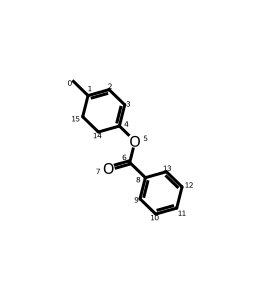 CC1=CC=C(OC(=O)c2ccccc2)CC1